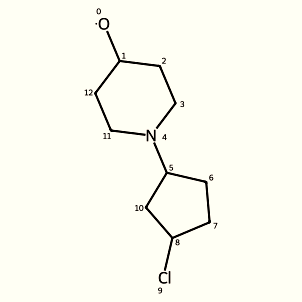 [O]C1CCN(C2CCC(Cl)C2)CC1